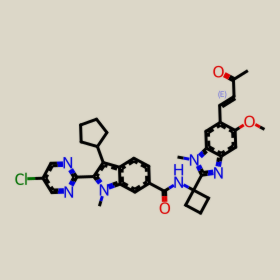 COc1cc2nc(C3(NC(=O)c4ccc5c(C6CCCC6)c(-c6ncc(Cl)cn6)n(C)c5c4)CCC3)n(C)c2cc1/C=C/C(C)=O